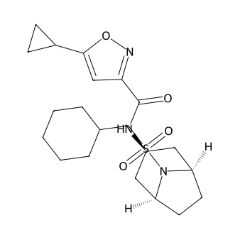 O=C(N[C@H]1C[C@H]2CC[C@@H](C1)N2S(=O)(=O)CC1CCCCC1)c1cc(C2CC2)on1